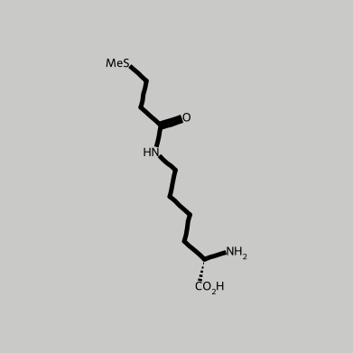 CSCCC(=O)NCCCC[C@H](N)C(=O)O